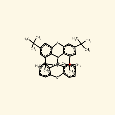 CC(C)(C)c1cc2c(c(C(C)(C)C)c1)N(B1c3ccccc3Oc3ccccc31)c1c(cc(C(C)(C)C)cc1C(C)(C)C)S2